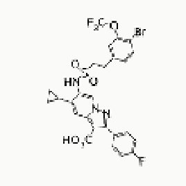 O=C(O)c1c(-c2ccc(F)cc2)nn2cc(NS(=O)(=O)CCc3ccc(Br)c(OC(F)(F)F)c3)c(C3CC3)cc12